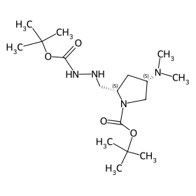 CN(C)[C@H]1C[C@@H](CNNC(=O)OC(C)(C)C)N(C(=O)OC(C)(C)C)C1